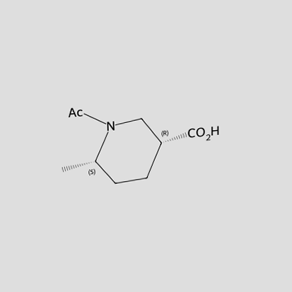 CC(=O)N1C[C@H](C(=O)O)CC[C@@H]1C